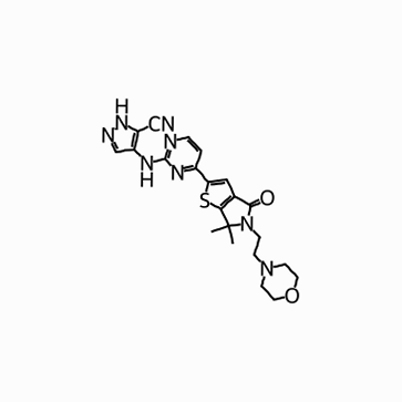 CC1(C)c2sc(-c3ccnc(Nc4cn[nH]c4C#N)n3)cc2C(=O)N1CCN1CCOCC1